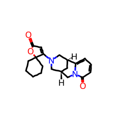 O=C1C=C(N2C[C@@H]3C[C@@H](C2)c2cccc(=O)n2C3)C2(CCCCC2)O1